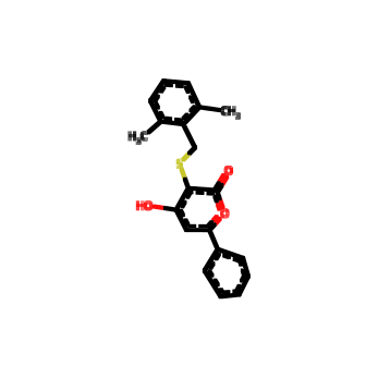 Cc1cccc(C)c1CSc1c(O)cc(-c2ccccc2)oc1=O